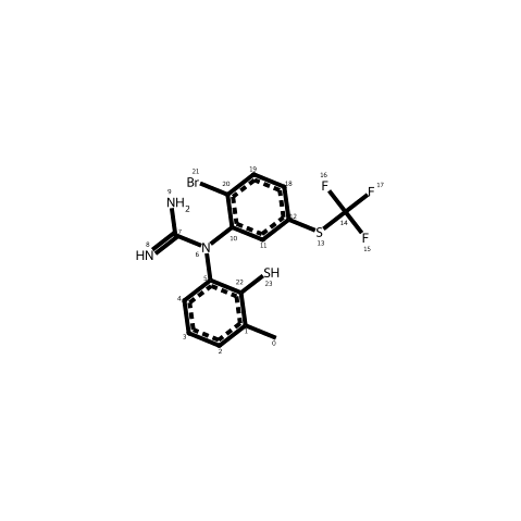 Cc1cccc(N(C(=N)N)c2cc(SC(F)(F)F)ccc2Br)c1S